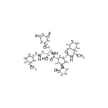 C[C@@H](NC(=O)c1cc(C(=O)N[C@@H](COc2cc(F)cc(F)c2)[C@H](O)CNCc2cccc(C(F)(F)F)c2)cc(N2CCCC2=O)c1)c1ccccc1